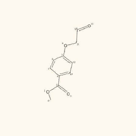 COC(=O)c1ccc(OC[C]=O)cc1